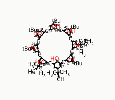 C#CC(C)(C)C1=CC2CC3C=C(C(C)(C)C#C)C=C(CC4C=C(C(C)(C)C)C=C(CC5=CC(C(C)(C)C)=CC(CC6=CC(C(C)(C)C)=CC(CC7=CC(C(C)(C)C)=CC(CC8C=C(C(C)(C)C=C)C=C(CC9C=C(C(C)(C)C)C=C(CC(=C1)C2O)C9O)C8O)C7O)C6O)C5O)C4O)C3O